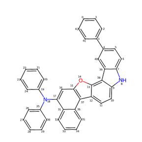 c1ccc(-c2ccc3[nH]c4ccc5c(oc6cc(N(c7ccccc7)c7ccccc7)c7ccccc7c65)c4c3c2)cc1